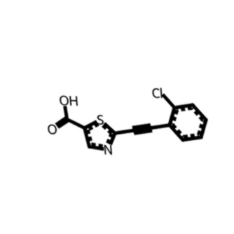 O=C(O)c1cnc(C#Cc2ccccc2Cl)s1